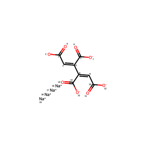 O=C([O-])C=C(C(=O)[O-])C(=CC(=O)[O-])C(=O)[O-].[Na+].[Na+].[Na+].[Na+]